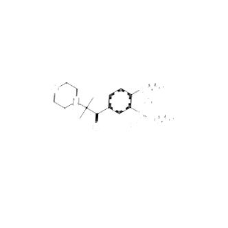 COS(=O)(=O)c1cc(C(=O)C(C)(C)N2CCOCC2)ccc1SC